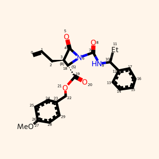 C=CC[C@H]1C(=O)N(C(=O)NC(CC)c2ccccc2)[C@@H]1C(=O)OCc1ccc(OC)cc1